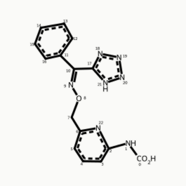 O=C(O)Nc1cccc(CON=C(c2ccccc2)c2nnn[nH]2)n1